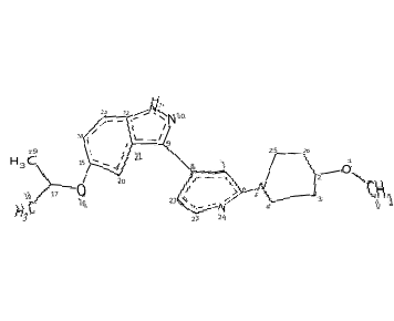 COC1CCN(c2cc(-c3n[nH]c4ccc(OC(C)C)cc34)ccn2)CC1